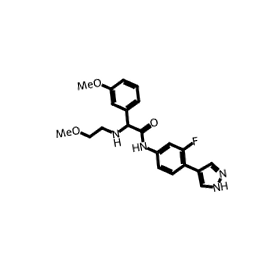 COCCNC(C(=O)Nc1ccc(-c2cn[nH]c2)c(F)c1)c1cccc(OC)c1